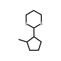 CC1CCCC1C1SCCCS1